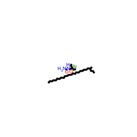 CCC(Br)(CC)C(=O)NC(N)=O.CCCCCCCCCCCCCCCCCCCCCCC(C)CCC